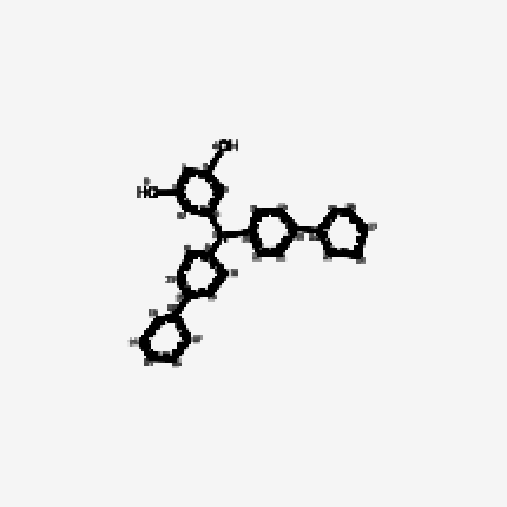 Oc1cc(O)cc(N(c2ccc(-c3ccccc3)cc2)c2ccc(-c3ccccc3)cc2)c1